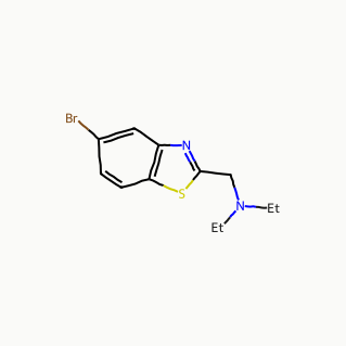 CCN(CC)Cc1nc2cc(Br)ccc2s1